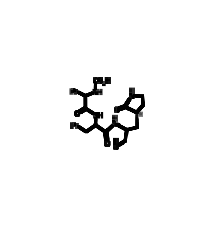 CC(C)CC(NC(=O)C(NC(=O)O)C(C)C)C(=O)NC(CO)C[C@@H]1CCNC1=O